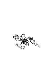 CCOC(CN1C(=O)C(CC(=O)Nc2ccc(C)cc2)(NC(=O)Nc2ccccc2C)c2ccccc21)OCC